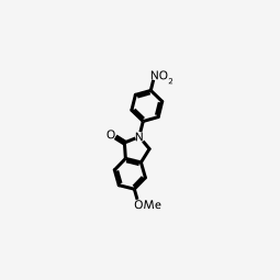 COc1ccc2c(c1)CN(c1ccc([N+](=O)[O-])cc1)C2=O